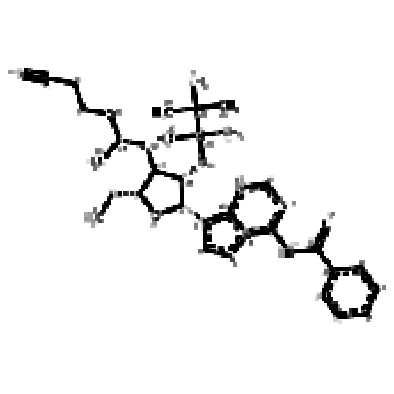 CC[C@H]1O[C@@H](c2cnn3c(NC(=O)c4ccccc4)ncnc23)[C@@H](O[Si](C)(C)C(C)(C)C)C1OP(C)OCCC#N